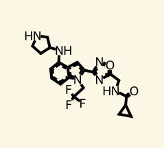 O=C(NCc1nc(-c2cc3c(NC4CCNC4)cccc3n2CC(F)(F)F)no1)C1CC1